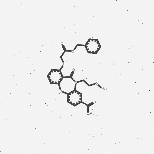 COC(=O)c1ccc2c(c1)N(CCOC(C)(C)C)C(=O)c1c(OCC(=O)OCc3ccccc3)cccc1O2